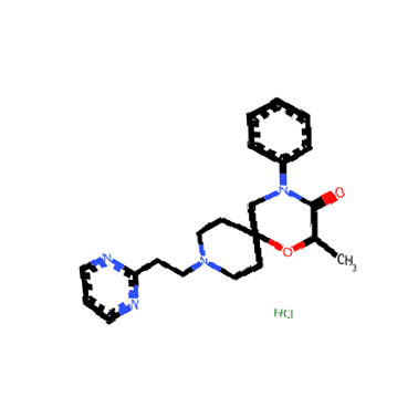 CC1OC2(CCN(CCc3ncccn3)CC2)CN(c2ccccc2)C1=O.Cl